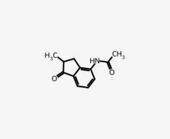 CC(=O)Nc1cccc2c1CC(C)C2=O